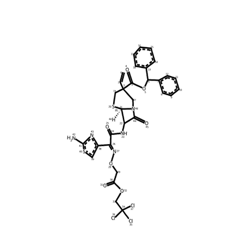 C=CC1(C(=O)OC(c2ccccc2)c2ccccc2)CS[C@@H]2C(NC(=O)C(=NOCC(=O)OCC(Cl)(Cl)Cl)c3csc(N)n3)C(=O)N2C1